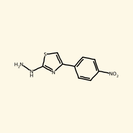 NNc1nc(-c2ccc([N+](=O)[O-])cc2)cs1